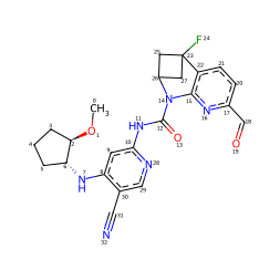 CO[C@@H]1CCC[C@H]1Nc1cc(NC(=O)N2c3nc(C=O)ccc3C3(F)CC2C3)ncc1C#N